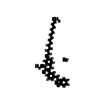 CCCCCCCCCCCCCCOc1ccc(CN(C(=O)CC)c2cccc(CC3=N[C+]=C4C=CC=CN43)c2)cc1.[Br-]